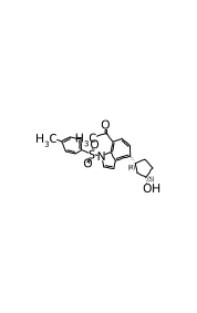 CC(=O)c1ccc([C@@H]2CC[C@H](O)C2)c2ccn(S(=O)(=O)c3ccc(C)cc3)c12